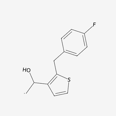 [CH2]C(O)c1ccsc1Cc1ccc(F)cc1